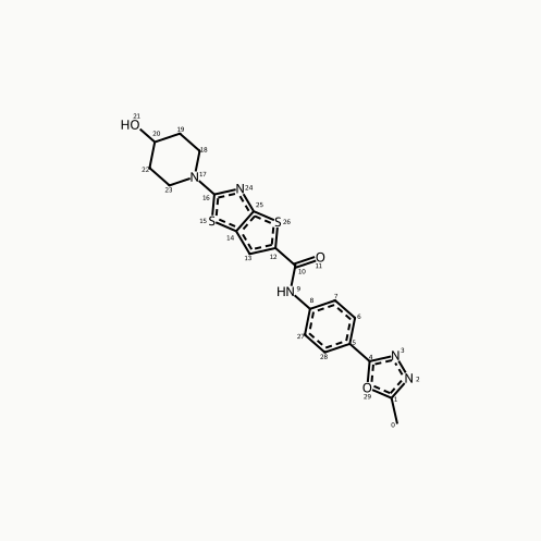 Cc1nnc(-c2ccc(NC(=O)c3cc4sc(N5CCC(O)CC5)nc4s3)cc2)o1